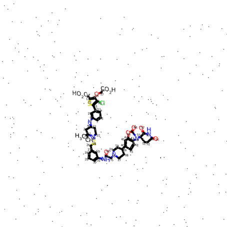 CC1(C)C/C(=N/c2cccc(-c3sc(C(=O)O)c(OCC(=O)O)c3Cl)c2)CCN1SCc1cccc(NC(=O)CN2CCC(c3ccc4c(c3)oc(=O)n4C3CCC(=O)NC3=O)CC2)c1